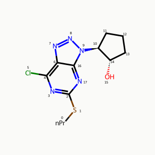 CCCSc1nc(Cl)c2nnn([C@H]3CCC[C@@H]3O)c2n1